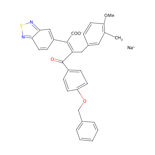 COc1ccc(C/C(C(=O)c2ccc(OCc3ccccc3)cc2)=C(\C(=O)[O-])c2ccc3nsnc3c2)cc1C.[Na+]